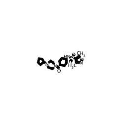 Cc1noc(C)c1S(=O)(=O)N[C@H]1CC[C@H](C(=O)N2CCN(C3CCCC3)CC2)CC1